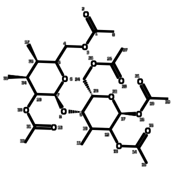 CC(=O)OCC1O[C@@H](O[C@H]2C(C)C(OC(C)=O)[C@H](OC(C)=O)O[C@H]2COC(C)=O)C(OC(C)=O)[C@@H](C)[C@H]1C